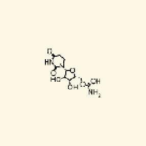 NP(O)OC[C@H]1O[C@@H](N2CCC(=O)NC2=O)[C@H](O)[C@@H]1O